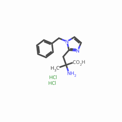 CC(N)(Cc1nccn1Cc1ccccc1)C(=O)O.Cl.Cl